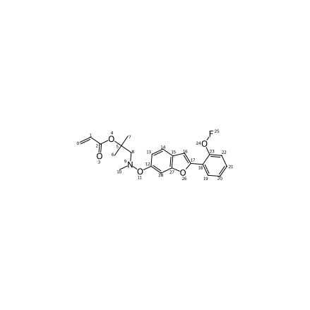 C=CC(=O)OC(C)(C)CN(C)Oc1ccc2cc(-c3ccccc3OF)oc2c1